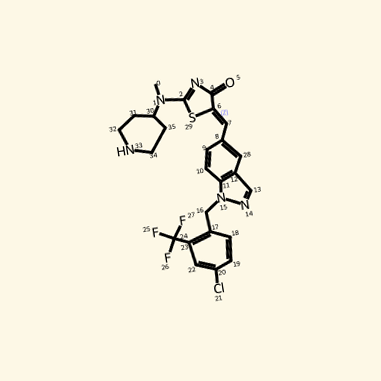 CN(C1=NC(=O)/C(=C/c2ccc3c(cnn3Cc3ccc(Cl)cc3C(F)(F)F)c2)S1)C1CCNCC1